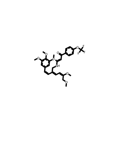 COC\C(=C/C=C(/C=C\c1cc(OC)c(OC)c(OC)c1)CN/C(C)=C/C(=O)c1ccc(OC(F)(F)F)cc1)OC